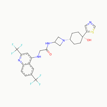 O=C(CNc1cc(C(F)(F)F)nc2ccc(C(F)(F)F)cc12)NC1CN([C@H]2CC[C@](O)(c3cncs3)CC2)C1